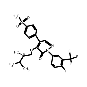 CC(C)[C@H](O)COc1c(-c2ccc(S(C)(=O)=O)cc2)cnn(-c2ccc(F)c(C(F)(F)F)c2)c1=O